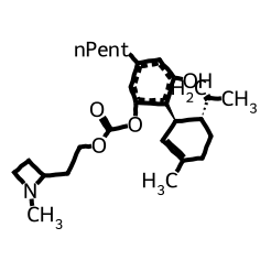 C=C(C)[C@@H]1CCC(C)=C[C@H]1c1c(O)cc(CCCCC)cc1OC(=O)OCCC1CCN1C